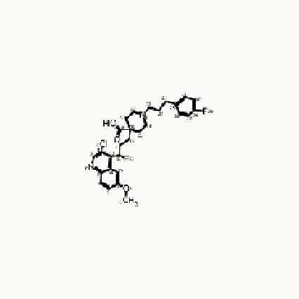 COc1ccc2ncc(Cl)c(C(F)CCC3(C(=O)O)CCN(CCCc4ccc(F)cc4)CC3)c2c1